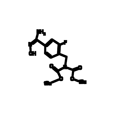 CC(C)(C)OC(=O)N(Cc1ccc(/C(N)=N\O)cc1F)C(=O)OC(C)(C)C